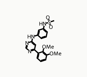 COc1cccc(-c2cc(Nc3cccc(NS(C)(=O)=O)c3)ncn2)c1OC